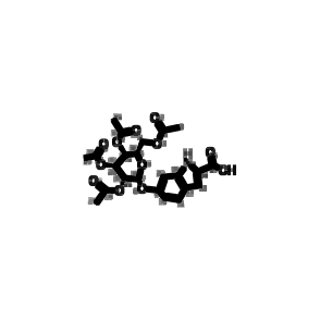 CC(=O)OC[C@H]1O[C@@H](Oc2ccc3cc(C(=O)O)[nH]c3c2)[C@H](OC(C)=O)[C@@H](OC(C)=O)[C@H]1OC(C)=O